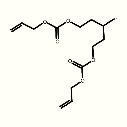 [CH2]C(CCOC(=O)OCC=C)CCOC(=O)OCC=C